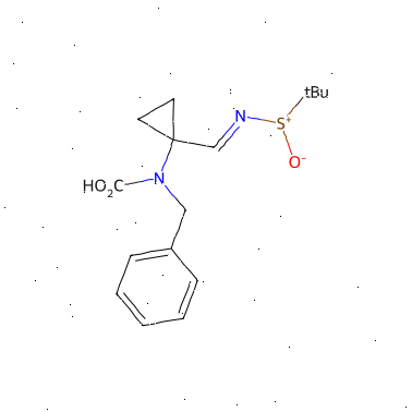 CC(C)(C)[S+]([O-])N=CC1(N(Cc2ccccc2)C(=O)O)CC1